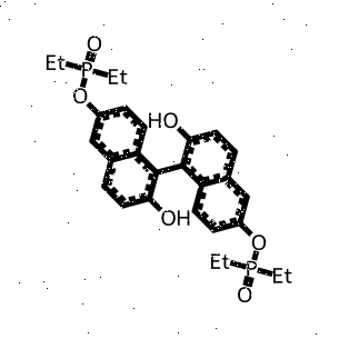 CCP(=O)(CC)Oc1ccc2c(-c3c(O)ccc4cc(OP(=O)(CC)CC)ccc34)c(O)ccc2c1